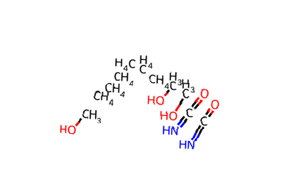 C.C.C.C.C.C.CO.CO.CO.N=C=O.N=C=O